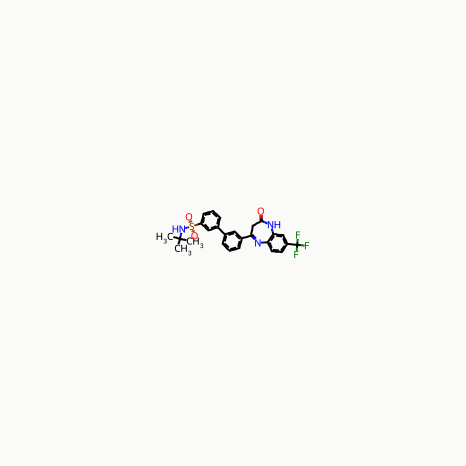 CC(C)(C)NS(=O)(=O)c1cccc(-c2cccc(C3=Nc4ccc(C(F)(F)F)cc4NC(=O)C3)c2)c1